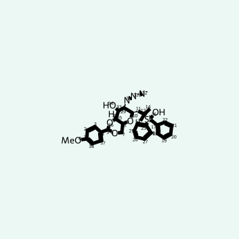 COc1ccc(C2OCC3O[C@@H](CC(C)(C)[Si](O)(c4ccccc4)c4ccccc4)[C@@H](N=[N+]=[N-])C(O)[C@@H]3O2)cc1